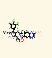 Bc1cnc2cc(C(=O)N3[C@@H](CC)C/C(=C(/NC)c4cc(F)c(F)c(F)c4)C(=N)[C@H]3CC)ccc2n1